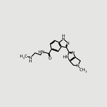 CNCCNC(=O)c1ccc2[nH]nc(-c3nc4c([nH]3)CN(C)C4)c2c1